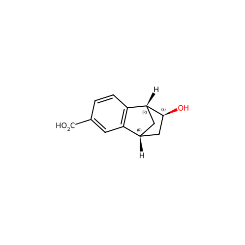 O=C(O)c1ccc2c(c1)[C@@H]1C[C@H]2[C@@H](O)C1